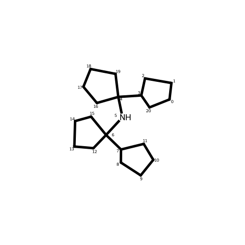 C1CCC(C2(NC3(C4CCCC4)CCCC3)CCCC2)C1